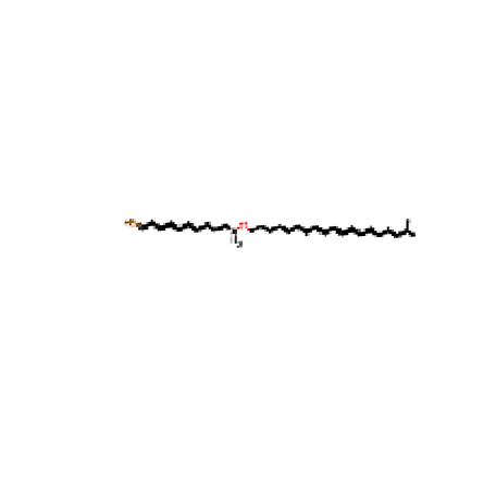 CC(C)CCCCCCCCCCCCCCCCCO[SiH2]CCCCCCCCCCS